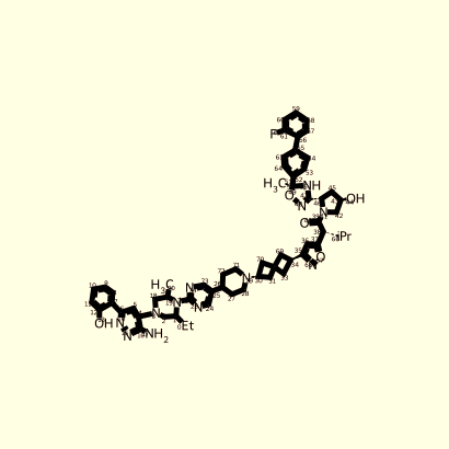 CCC1CN(c2cc(-c3ccccc3O)nnc2N)CC(C)N1c1ncc(C2CCN([C@H]3CC4(C[C@H](c5cc([C@H](C(=O)N6C[C@H](O)C[C@H]6C6=NO[C@@](C)(c7ccc(-c8ccccc8F)cc7)N6)C(C)C)on5)C4)C3)CC2)cn1